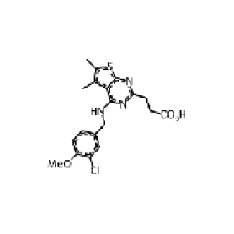 COc1ccc(CNc2nc(CCC(=O)O)nc3sc(C)c(C)c23)cc1Cl